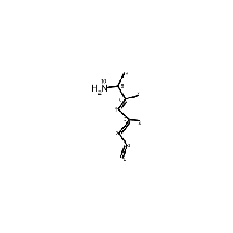 C=C/C=C(C)/C=C(\C)C(C)N